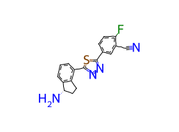 N#Cc1cc(-c2nnc(-c3cccc4c3CC[C@@H]4N)s2)ccc1F